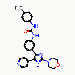 O=C(Nc1ccc(C(F)(F)F)cc1)Nc1cccc(-c2nc(N3CCOCC3)[nH]c2-c2ccncc2)c1